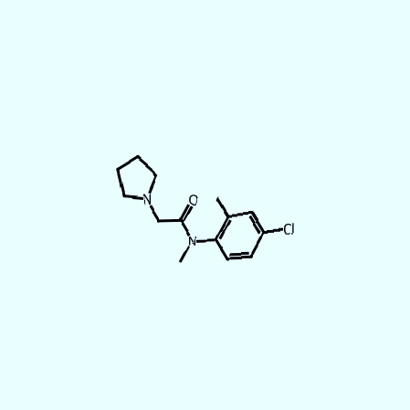 Cc1cc(Cl)ccc1N(C)C(=O)CN1CCCC1